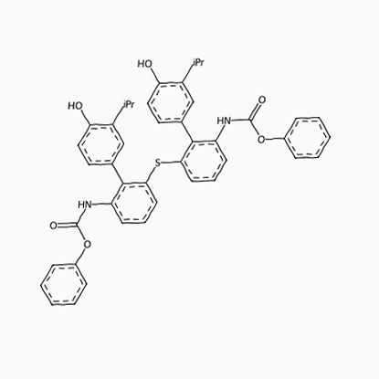 CC(C)c1cc(-c2c(NC(=O)Oc3ccccc3)cccc2Sc2cccc(NC(=O)Oc3ccccc3)c2-c2ccc(O)c(C(C)C)c2)ccc1O